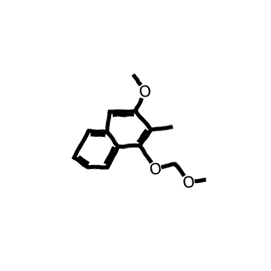 COCOc1c(C)c(OC)cc2ccccc12